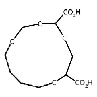 O=C(O)C1CCCCCCCCC(C(=O)O)CC1